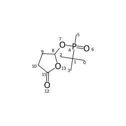 CC(C)(C)P(C)(=O)OC1CCC(=O)O1